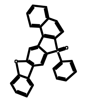 O=P1(c2ccccc2)c2cc3c(cc2-c2c1ccc1ccccc21)oc1ccccc13